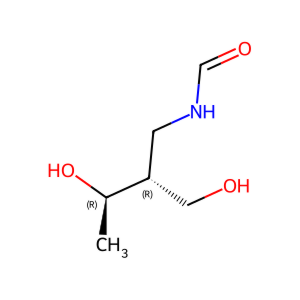 C[C@@H](O)[C@@H](CO)CNC=O